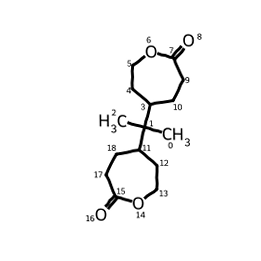 CC(C)(C1CCOC(=O)CC1)C1CCOC(=O)CC1